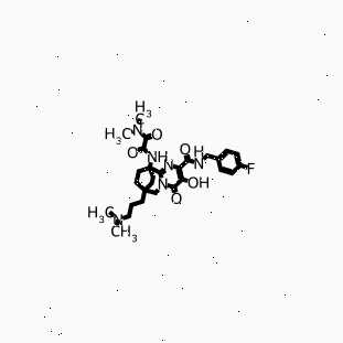 CN(C)CCCC12CCC(NC(=O)C(=O)N(C)C)(CC1)c1nc(C(=O)NCc3ccc(F)cc3)c(O)c(=O)n1C2